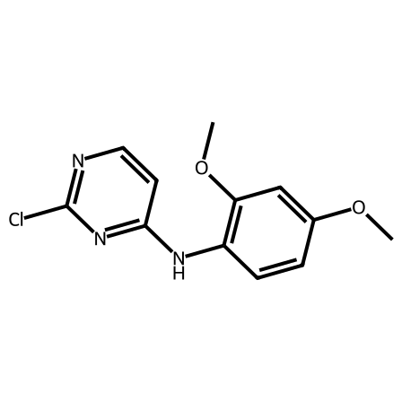 COc1ccc(Nc2ccnc(Cl)n2)c(OC)c1